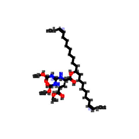 CCCCCCCC/C=C\CCCCCCCCC(CCCCCCC/C=C\CCCCCCCC)OC(=O)[C@H](CCC(=O)OC(C)(C)C)N/C(=N/C(=O)OC(C)(C)C)NC(=O)OC(C)(C)C